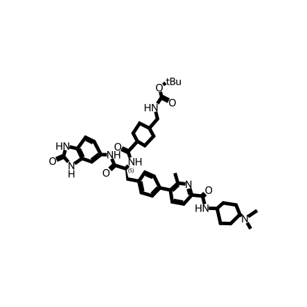 Cc1nc(C(=O)NC2CCC(N(C)C)CC2)ccc1-c1ccc(C[C@H](NC(=O)C2CCC(CNC(=O)OC(C)(C)C)CC2)C(=O)Nc2ccc3[nH]c(=O)[nH]c3c2)cc1